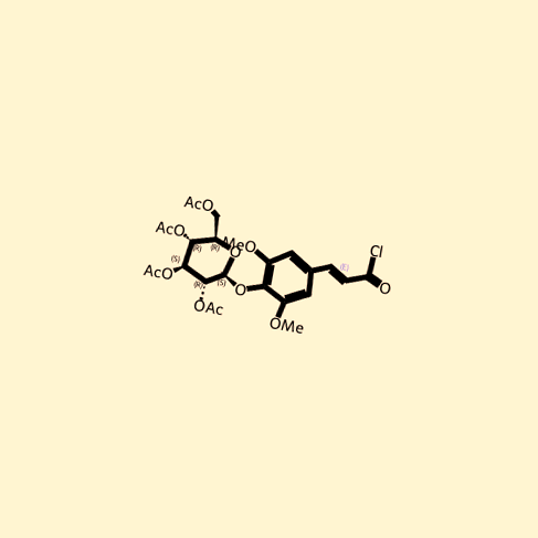 COc1cc(/C=C/C(=O)Cl)cc(OC)c1O[C@@H]1O[C@H](COC(C)=O)[C@@H](OC(C)=O)[C@H](OC(C)=O)[C@H]1OC(C)=O